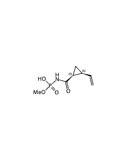 C=C[C@@H]1C[C@@H]1C(=O)NP(=O)(O)OC